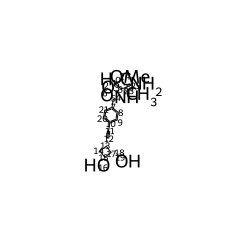 COC(=O)[C@@H](NC(=O)c1ccc(C#C[C@H]2CC(O)[C@H]2CO)cc1)C(C)(C)N